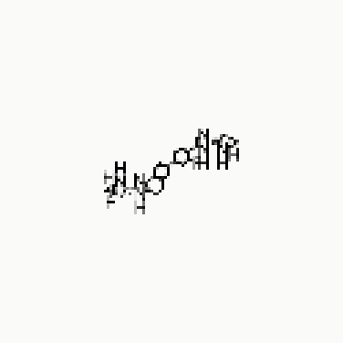 Fc1cc(-c2ccc3c(c2)CCc2[nH]c([C@@H]4C[C@H]5C[C@H]5N4)nc2-3)ccc1-c1cnc([C@@H]2CC3C[C@H]3N2)[nH]1